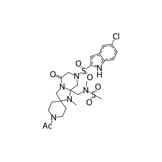 CC(=O)N1CCC2(CC1)CN1C(=O)CN(S(=O)(=O)c3cc4cc(Cl)ccc4[nH]3)CC1(CN(C)S(C)(=O)=O)N2C